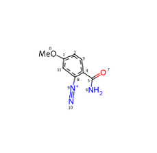 COc1ccc(C(N)=O)c([N+]#N)c1